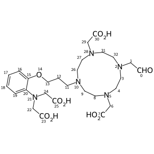 O=CCN1CCN(CC(=O)O)CCN(CCCOc2ccccc2N(CC(=O)O)CC(=O)O)CCN(CC(=O)O)CC1